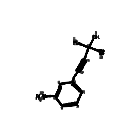 CCC(O)(C#Cc1cccc(N)c1)CC